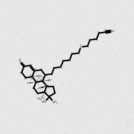 CC1(O)CC[C@H]2[C@@H]3C(CCCCCCCOCCCCC#N)CC4=CC(=O)CC[C@]4(C)[C@@H]3CC[C@@]21C